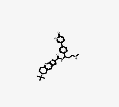 CNCCC(NC(=O)c1cc2cc3c(nc2s1)CC[C@H](C(C)(C)C)C3)c1ccc(-c2ccc(=O)[nH]c2)cc1